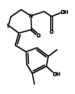 Cc1cc(/C=C2/SCCN(CC(=O)O)C2=O)cc(C)c1O